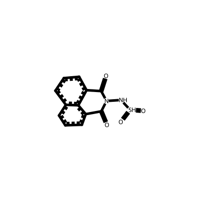 O=C1c2cccc3cccc(c23)C(=O)N1N[SH](=O)=O